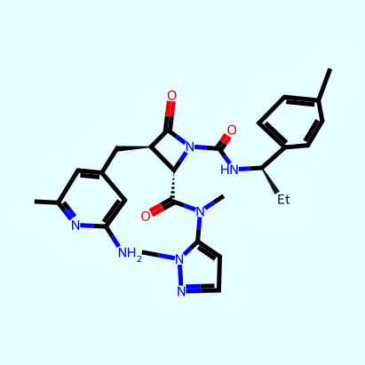 CC[C@@H](NC(=O)N1C(=O)[C@H](Cc2cc(C)nc(N)c2)[C@H]1C(=O)N(C)c1ccnn1C)c1ccc(C)cc1